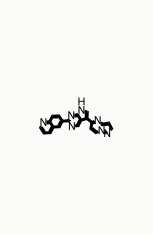 c1cnc2ccc(-c3ncc4c(-c5ccn6nccc6n5)c[nH]c4n3)cc2c1